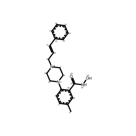 Cc1ccc(N2CCN(C/C=C/c3ccccc3)CC2)c(C(=O)NO)c1